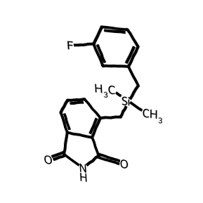 C[Si](C)(Cc1cccc(F)c1)Cc1cccc2c1C(=O)NC2=O